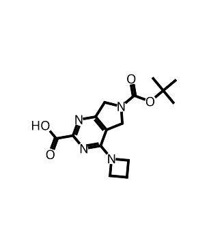 CC(C)(C)OC(=O)N1Cc2nc(C(=O)O)nc(N3CCC3)c2C1